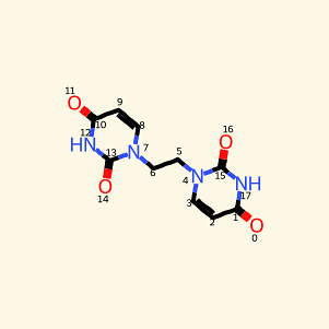 O=c1ccn(CCn2ccc(=O)[nH]c2=O)c(=O)[nH]1